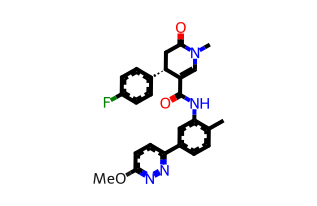 COc1ccc(-c2ccc(C)c(NC(=O)C3=CN(C)C(=O)C[C@H]3c3ccc(F)cc3)c2)nn1